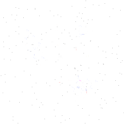 COP(=O)(S)OCC1O[C@@H](n2cnc3c(=O)[nH]c(N)nc32)C[C@H]1OP(=O)(S)OCC1O[C@@H](n2cc(C)c(=O)[nH]c2=O)C[C@H]1OP(=O)(S)OCC1O[C@@H](n2cnc3c(=O)[nH]c(N)nc32)C[C@H]1OP(=O)(S)OCC1O[C@@H](n2cc(C)c(=O)[nH]c2=O)C[C@H]1OP(=S)(S)OCC1O[C@@H](n2ccc(N)nc2=O)C[C@H]1C